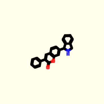 O=c1oc2cc(C3NCc4ccccc43)ccc2cc1-c1ccccc1